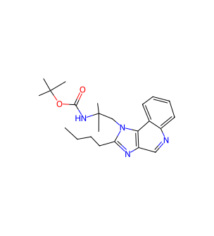 CCCCc1nc2cnc3ccccc3c2n1CC(C)(C)NC(=O)OC(C)(C)C